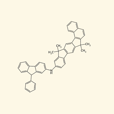 CC1(C)c2cc(Nc3ccc4c(c3)C(c3ccccc3)c3ccccc3-4)ccc2-c2cc3c(cc21)-c1c(ccc2ccccc12)C3(C)C